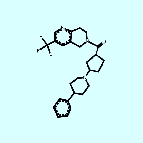 O=C([C@H]1CCC(N2CCC(c3ccccc3)CC2)C1)N1CCc2ncc(C(F)(F)F)cc2C1